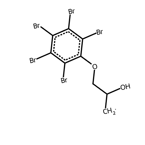 [CH2]C(O)COc1c(Br)c(Br)c(Br)c(Br)c1Br